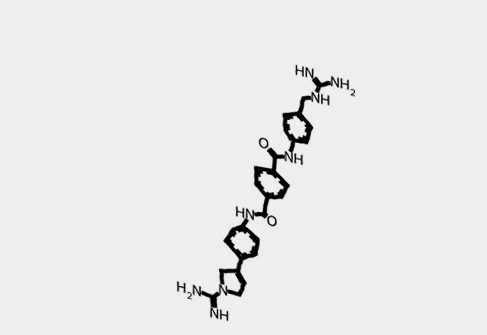 N=C(N)NCc1ccc(NC(=O)c2ccc(C(=O)Nc3ccc(C4=CCN(C(=N)N)C4)cc3)cc2)cc1